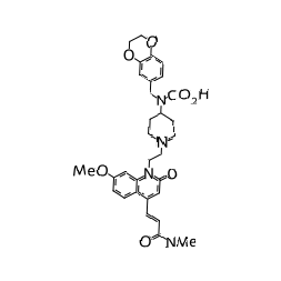 CNC(=O)C=Cc1cc(=O)n(CCN2CCC(N(Cc3ccc4c(c3)OCCO4)C(=O)O)CC2)c2cc(OC)ccc12